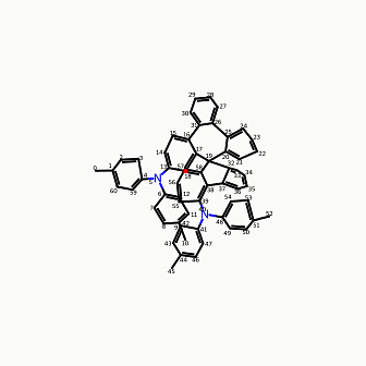 Cc1ccc(N(c2ccc(C)cc2)c2ccc3c(c2)C2(c4ccccc4-c4ccccc4-3)c3ccccc3-c3c(N(c4ccc(C)cc4)c4ccc(C)cc4)cccc32)cc1